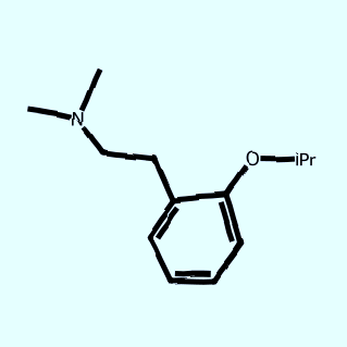 CC(C)Oc1ccccc1CCN(C)C